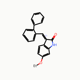 CCOc1ccc2c(c1)NC(=O)/C2=C/c1ccccc1-c1ccccc1